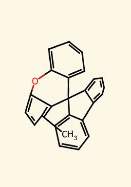 Cc1cccc2c1C1(c3ccccc3O2)c2ccccc2-c2ccccc21